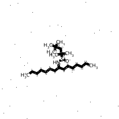 CCCCCCCC(CCCCCCC)N[S+]([O-])C(C)(C)CC(C)(C)C